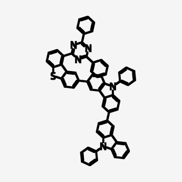 c1ccc(-c2nc(-c3ccccc3)nc(-c3cccc4sc5ccc(-c6ccc7c(c6)c6cc(-c8ccc9c(c8)c8ccccc8n9-c8ccccc8)ccc6n7-c6ccccc6)cc5c34)n2)cc1